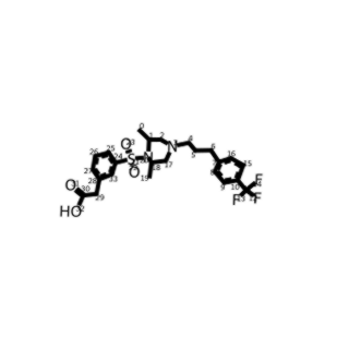 CC1CN(CCCc2ccc(C(F)(F)F)cc2)CC(C)N1S(=O)(=O)c1cccc(CC(=O)O)c1